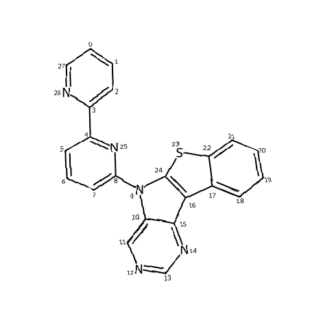 c1ccc(-c2cccc(-n3c4cncnc4c4c5ccccc5sc43)n2)nc1